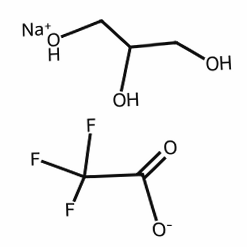 O=C([O-])C(F)(F)F.OCC(O)CO.[Na+]